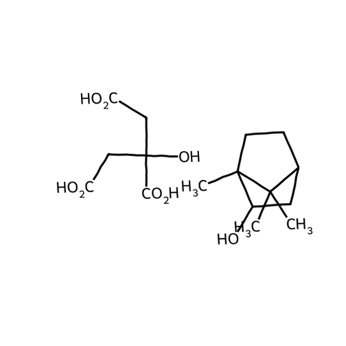 CC1(C)C2CCC1(C)C(O)C2.O=C(O)CC(O)(CC(=O)O)C(=O)O